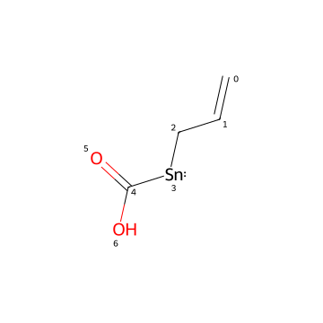 C=C[CH2][Sn][C](=O)O